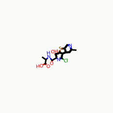 Cc1cc2c(cn1)sc1c(O)c(C(=O)NC(C)C(=O)O)nc(Cl)c12